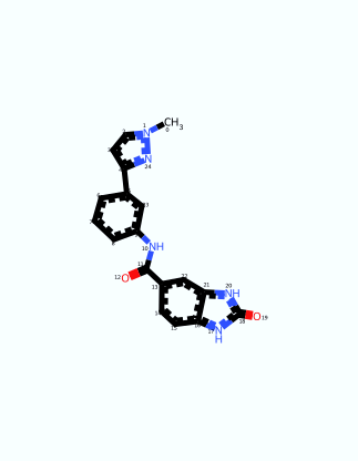 Cn1ccc(-c2cccc(NC(=O)c3ccc4[nH]c(=O)[nH]c4c3)c2)n1